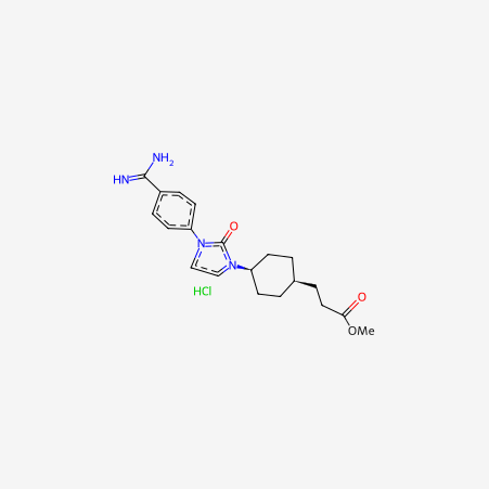 COC(=O)CC[C@H]1CC[C@@H](n2ccn(-c3ccc(C(=N)N)cc3)c2=O)CC1.Cl